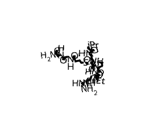 CCN(CC)C(=O)[C@@H](CCCNC(=N)N)NC(=O)C1CCCN1C(=O)[C@H](CSCCCC(=O)NCC(=O)NCC(N)=O)NC(=O)CNC(=O)CC(C)C